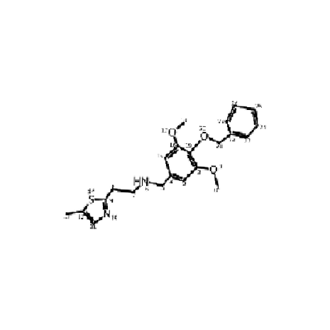 COc1cc(CNCCc2ncc(C)s2)cc(OC)c1OCc1ccccc1